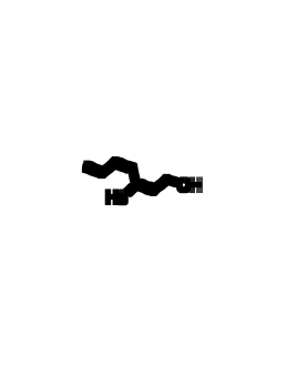 C=C/C=C\C(S)=C/CO